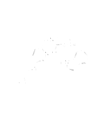 CC(NC(=O)[C@H]1C[C@@H]1c1cccc2cc[nH]c12)c1ccc(OCC2CC2)cn1